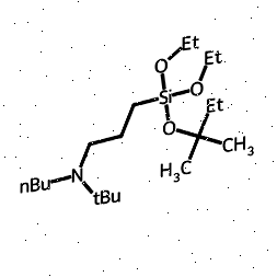 CCCCN(CCC[Si](OCC)(OCC)OC(C)(C)CC)C(C)(C)C